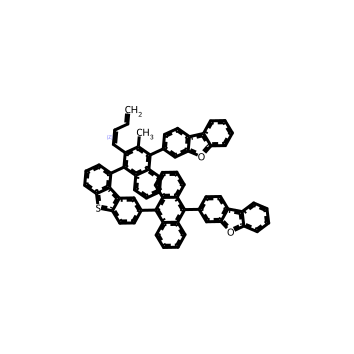 C=C/C=C\c1c(C)c(-c2ccc3c(c2)oc2ccccc23)c2ccccc2c1-c1cccc2sc3ccc(-c4c5ccccc5c(-c5ccc6c(c5)oc5ccccc56)c5ccccc45)cc3c12